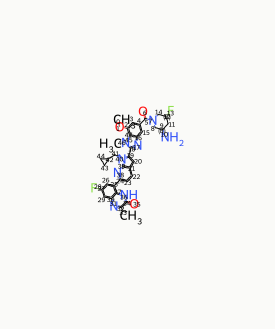 COc1cc(C(=O)N2C[C@H](N)C[C@@H](F)C2)cc2nc(-c3cc4ccc(-c5cc(F)cc6nc(C)c(=O)[nH]c56)nc4n3CC3CC3)n(C)c12